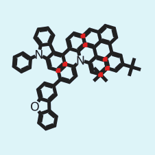 CC(C)(C)c1cc(-c2cccc3cccc(-c4ccccc4N(c4ccc(-c5ccc6oc7ccccc7c6c5)cc4)c4ccccc4-c4cccc5c4c4ccccc4n5-c4ccccc4)c23)cc(C(C)(C)C)c1